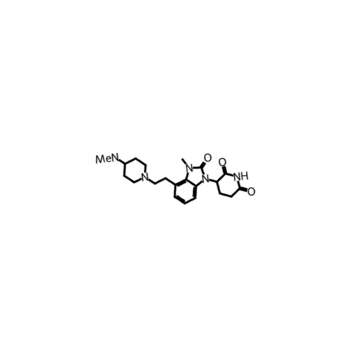 CNC1CCN(CCc2cccc3c2n(C)c(=O)n3C2CCC(=O)NC2=O)CC1